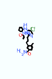 C=CC(=O)Nc1ccccc1Nc1nc(CCCc2cc(C(N)=O)ccc2C)ncc1Cl